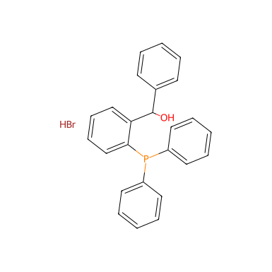 Br.OC(c1ccccc1)c1ccccc1P(c1ccccc1)c1ccccc1